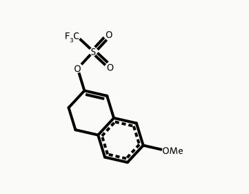 COc1ccc2c(c1)C=C(OS(=O)(=O)C(F)(F)F)CC2